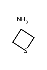 C1CSC1.N